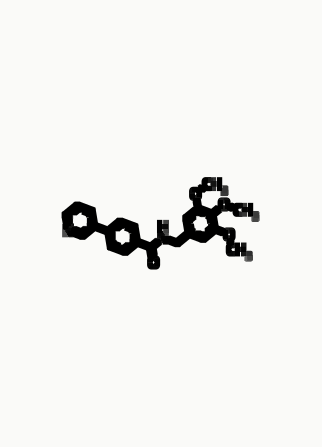 COc1cc(CNC(=O)c2ccc(-c3cccnc3)cc2)cc(OC)c1OC